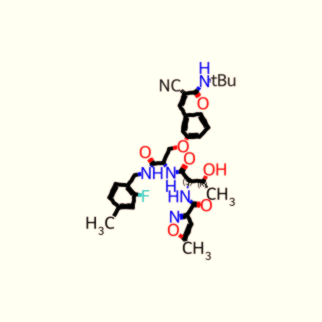 Cc1ccc(CNC(=O)C(COc2cccc(C=C(C#N)C(=O)NC(C)(C)C)c2)NC(=O)[C@@H](NC(=O)c2cc(C)on2)[C@@H](C)O)c(F)c1